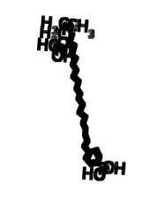 C[N+](C)(C)CC(CCCCCCCCCCCCCCCCCCc1ccc(B(O)O)cc1)OP(=O)(O)O